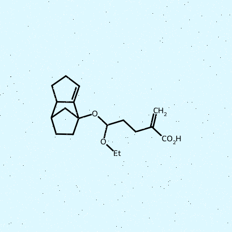 C=C(CCC(OCC)OC12CCC(C1)C1CCC=C12)C(=O)O